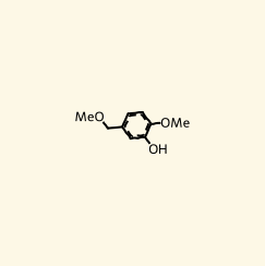 [CH]OCc1ccc(OC)c(O)c1